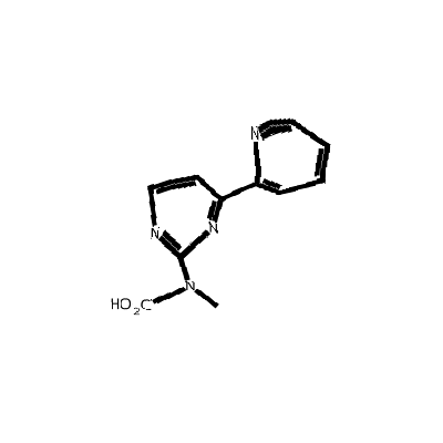 CN(C(=O)O)c1nccc(-c2ccccn2)n1